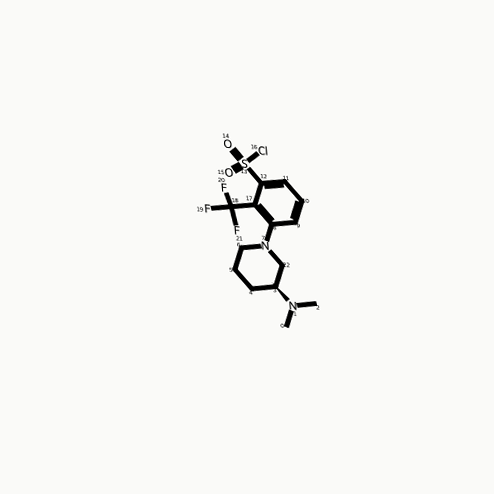 CN(C)[C@H]1CCCN(c2cccc(S(=O)(=O)Cl)c2C(F)(F)F)C1